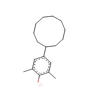 Cc1cc(C2CCCCCCCCC2)cc(C)c1O